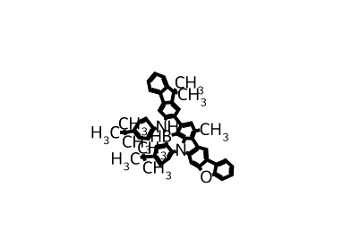 Cc1cc(-c2cc3c(cc2Nc2ccc(C(C)(C)C)cc2)-c2ccccc2C3(C)C)c2c3c1c1cc4c(cc1n3-c1ccc(C(C)(C)C)cc1B2)oc1ccccc14